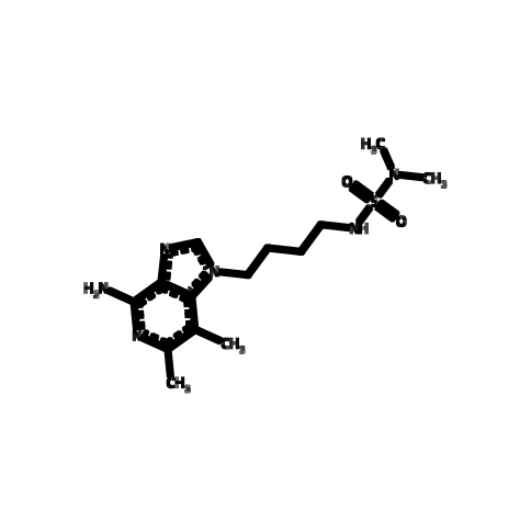 Cc1nc(N)c2ncn(CCCCNS(=O)(=O)N(C)C)c2c1C